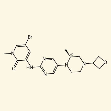 C[C@H]1CN(C2COC2)CCN1c1cnc(Nc2cc(Br)cn(C)c2=O)nc1